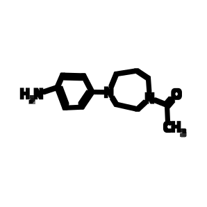 CC(=O)N1CCCN(c2ccc(N)cc2)CC1